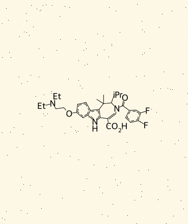 CCN(CC)CCOc1ccc2c3c([nH]c2c1)C(C(=O)O)=CN(C(=O)c1ccc(F)c(F)c1)C(C(C)C)C3(C)C